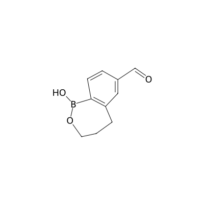 O=Cc1ccc2c(c1)CCCOB2O